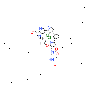 COc1nc(-c2cccc(-c3ccnc(-c4cnc5c(C=O)cn(C)c5c4)c3Cl)c2Cl)ccc1CN(C[C@@H]1CCC(=O)N1)C(=O)O